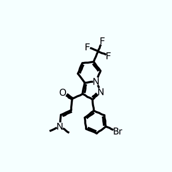 CN(C)/C=C/C(=O)c1c(-c2cccc(Br)c2)nn2cc(C(F)(F)F)ccc12